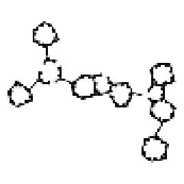 c1ccc(-c2ccc3c4ccccc4n(-c4ccc5c(c4)oc4cc(-c6nc(-c7ccccc7)nc(-c7ccccc7)n6)ccc45)c3c2)cc1